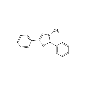 CN1C=C(c2ccccc2)OC1c1ccccc1